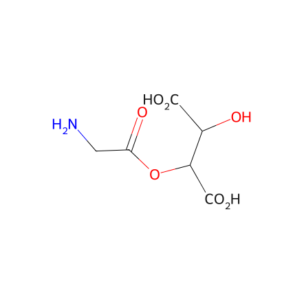 NCC(=O)OC(C(=O)O)C(O)C(=O)O